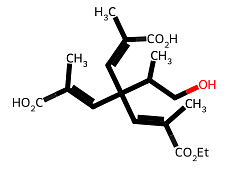 CCOC(=O)C(C)=CC(C=C(C)C(=O)O)(C=C(C)C(=O)O)C(C)CO